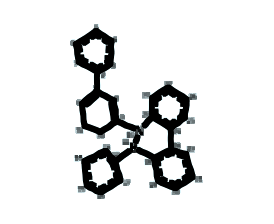 C1=C(c2ccccc2)C=C(N2B(c3ccccc3)c3ccccc3-c3ccccc32)CC1